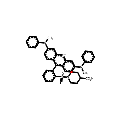 CN(c1ccccc1)c1ccc2c(-c3ccccc3S(=O)(=O)N3CCC(C(=O)O)CC3)c3ccc(N(C)c4ccccc4)cc3[o+]c2c1